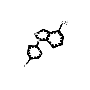 O=C(O)c1cccc2c1cnn2-c1ccc(F)cc1